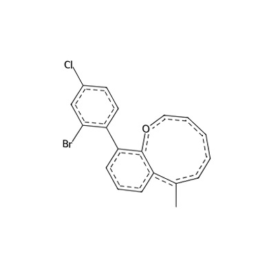 Cc1cccccoc2c(-c3ccc(Cl)cc3Br)cccc12